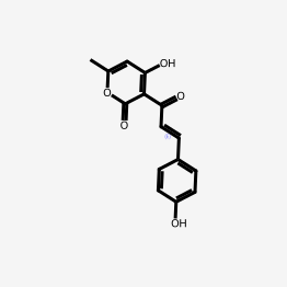 Cc1cc(O)c(C(=O)/C=C/c2ccc(O)cc2)c(=O)o1